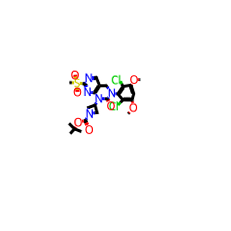 COc1cc(OC)c(Cl)c(N2Cc3cnc(S(C)(=O)=O)nc3N(C3CN(C(=O)OC(C)(C)C)C3)C2=O)c1Cl